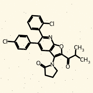 CC(C)C(=O)c1oc2nc(-c3ccccc3Cl)c(-c3ccc(Cl)cc3)cc2c1N1CCCC1=O